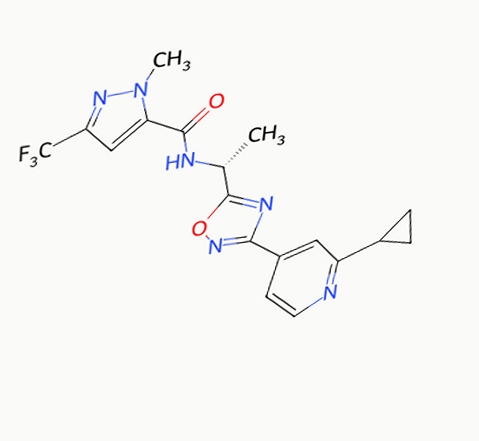 C[C@@H](NC(=O)c1cc(C(F)(F)F)nn1C)c1nc(-c2ccnc(C3CC3)c2)no1